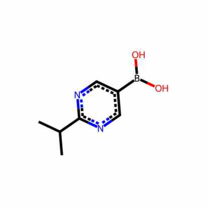 CC(C)c1ncc(B(O)O)cn1